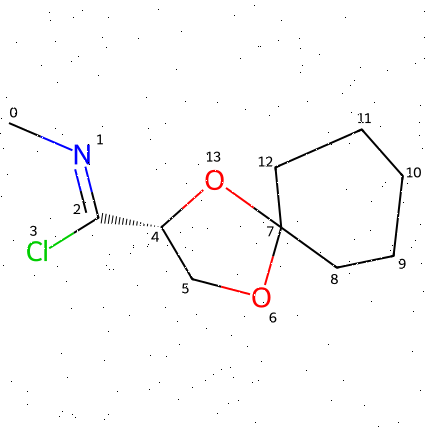 CN=C(Cl)[C@H]1COC2(CCCCC2)O1